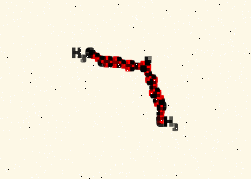 CCCCCCOc1ccc(-c2ccc(CCc3ccc(C#Cc4cc(F)cc(C#Cc5ccc(CCc6ccc(-c7ccc(OCCCCCC)cc7)cc6)cc5)c4)cc3)cc2)cc1